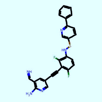 N=Cc1cc(C#Cc2c(F)ccc(NSc3ccc(-c4ccccc4)nc3)c2F)cnc1N